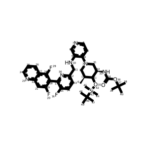 C[C@H]1CN(c2ccncc2NCc2ccc(F)c(-c3c(F)cc4ncccc4c3F)n2)C[C@@H](NC(=O)OC(C)(C)C)C1O[Si](C)(C)C(C)(C)C